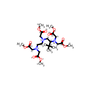 COC(=O)CN(CCN(CC(=O)OC)CC(N(CC(=O)OC)CC(=O)OC)C(C)(C)C)CC(=O)OC